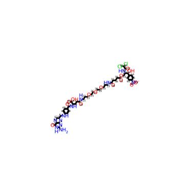 Nc1nc2nc(CNc3ccc(C(=O)NC(CCC(=O)NCCCOCCOCCOCCCNC(=O)CCCC(=O)OCC(NC(=O)C(Cl)Cl)C(O)c4ccc([N+](=O)[O-])cc4)C(=O)O)cc3)cnc2c(=O)[nH]1